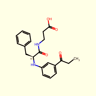 CCC(=O)c1cccc(N[C@@H](Cc2ccccc2)C(=O)NCCC(=O)O)c1